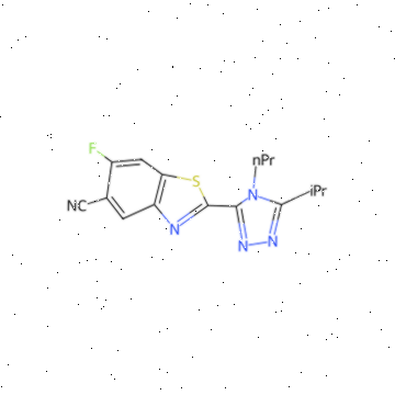 CCCn1c(-c2nc3cc(C#N)c(F)cc3s2)nnc1C(C)C